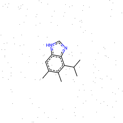 Cc1cc2[nH]cnc2c(C(C)C)c1C